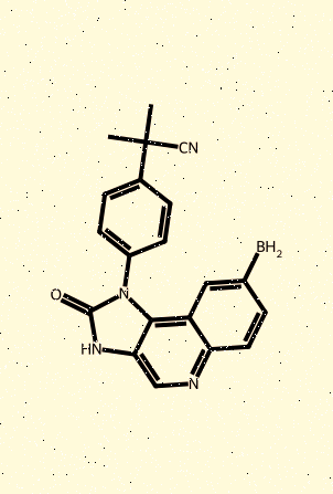 Bc1ccc2ncc3[nH]c(=O)n(-c4ccc(C(C)(C)C#N)cc4)c3c2c1